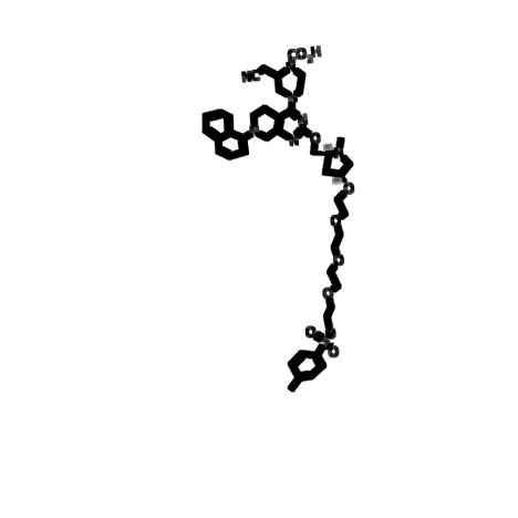 Cc1ccc(S(=O)(=O)OCCOCCOCCOCCO[C@@H]2C[C@@H](COc3nc4c(c(N5CCN(C(=O)O)C(CC#N)C5)n3)CCN(c3cccc5ccccc35)C4)N(C)C2)cc1